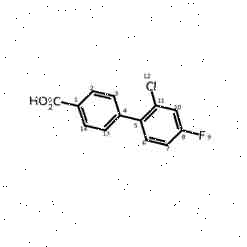 O=C(O)c1ccc(-c2ccc(F)cc2Cl)cc1